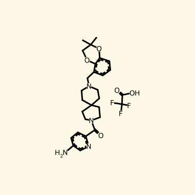 CC1(C)COc2c(CN3CCC4(CC3)CCN(C(=O)c3ccc(N)cn3)CC4)cccc2O1.O=C(O)C(F)(F)F